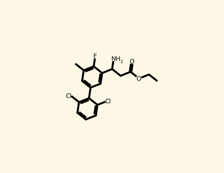 CCOC(=O)CC(N)c1cc(-c2c(Cl)cccc2Cl)cc(C)c1F